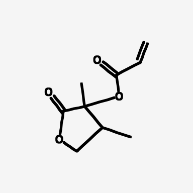 C=CC(=O)OC1(C)C(=O)OCC1C